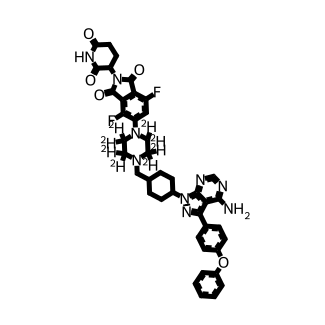 [2H]C1([2H])N(CC2CCC(n3nc(-c4ccc(Oc5ccccc5)cc4)c4c(N)ncnc43)CC2)C([2H])([2H])C([2H])([2H])N(c2cc(F)c3c(c2F)C(=O)N(C2CCC(=O)NC2=O)C3=O)C1([2H])[2H]